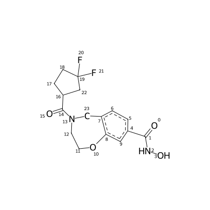 O=C(NO)c1ccc2c(c1)OCCN(C(=O)C1CCC(F)(F)C1)C2